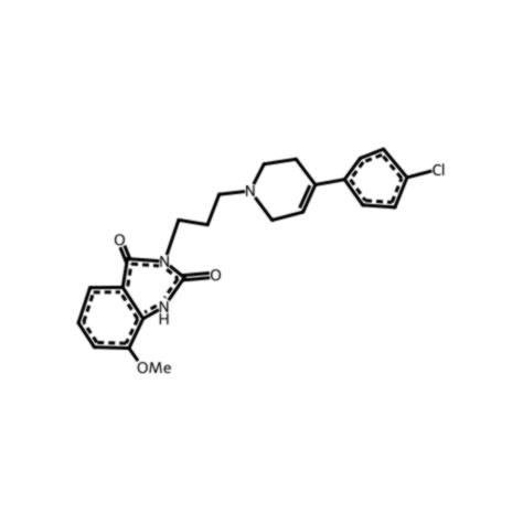 COc1cccc2c(=O)n(CCCN3CC=C(c4ccc(Cl)cc4)CC3)c(=O)[nH]c12